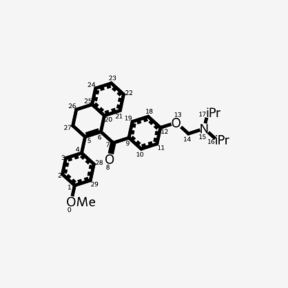 COc1ccc(C2=C(C(=O)c3ccc(OCN(C(C)C)C(C)C)cc3)c3ccccc3CC2)cc1